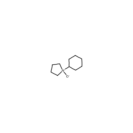 [O-][N+]1(C2CCCCC2)CCCC1